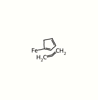 C=C=C.[Fe][C]1=CC=CC1